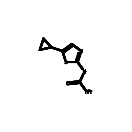 CCCC(=O)[N]c1ncc(C2CC2)s1